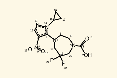 O=C(O)N1CCN(c2c([N+](=O)[O-])cnn2C2CC2)CC(F)(F)C1